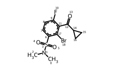 CN(C)S(=O)(=O)c1ccc(F)c(C(=O)C2CC2)c1Br